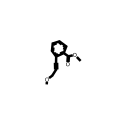 COCC#Cc1ccccc1C(=O)OC